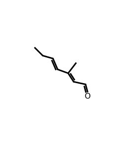 CC/C=C/C(C)=C/C=O